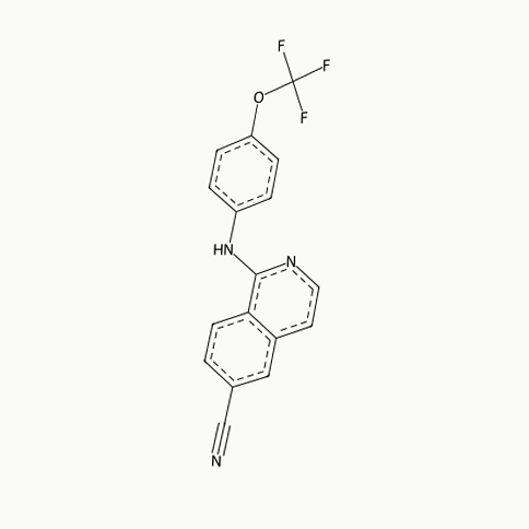 N#Cc1ccc2c(Nc3ccc(OC(F)(F)F)cc3)nccc2c1